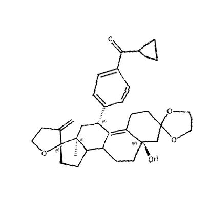 C=C1CCO[C@]12CCC1C3CC[C@@]4(O)CC5(CCC4=C3[C@@H](c3ccc(C(=O)C4CC4)cc3)C[C@@]12C)OCCO5